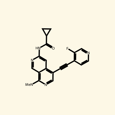 CNc1ncc(C#Cc2ccncc2F)c2cc(NC(=O)C3CC3)ncc12